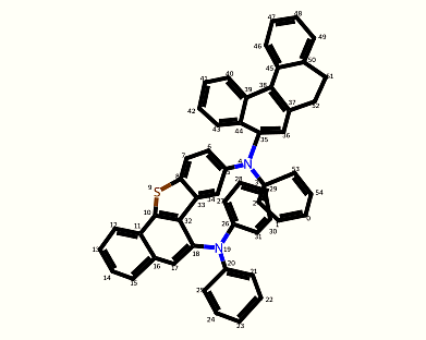 c1ccc(N(c2ccc3sc4c5ccccc5cc(N(c5ccccc5)c5ccccc5)c4c3c2)c2cc3c(c4ccccc24)-c2ccccc2CC3)cc1